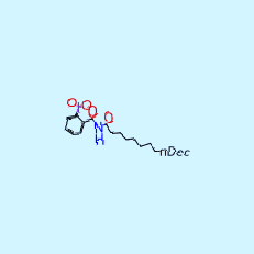 CCCCCCCCCCCCCCCCCC(=O)NC(=O)c1ccccc1I(=O)=O